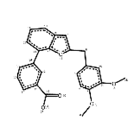 COc1ccc(Cc2cc3cccc(-c4cccc(C(=O)O)c4)c3o2)cc1OC